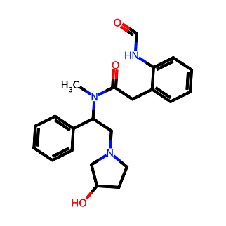 CN(C(=O)Cc1ccccc1NC=O)C(CN1CCC(O)C1)c1ccccc1